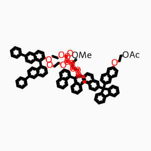 COCCOc1ccc2ccccc2c1-c1c(OCCOC(=O)OCCOc2ccc3cc(-c4ccccc4)ccc3c2-c2c(OCCOC(=O)OCCOc3ccc4cc(C5(c6ccc7cc(OCCOC(C)=O)ccc7c6)c6ccccc6-c6ccccc65)ccc4c3)ccc3cc(-c4ccccc4)ccc23)ccc2ccccc12